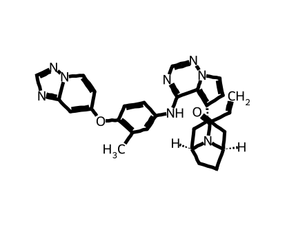 C=CC(=O)N1[C@@H]2CC[C@H]1C[C@H](c1ccn3ncnc(Nc4ccc(Oc5ccn6ncnc6c5)c(C)c4)c13)C2